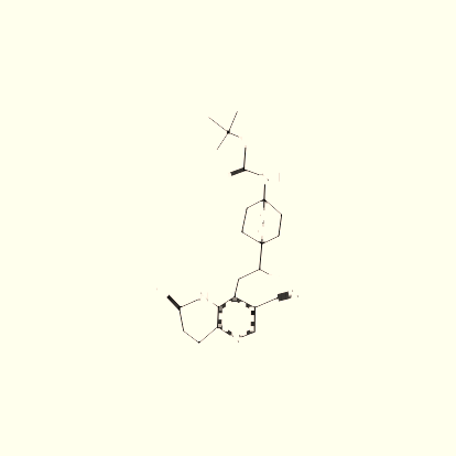 CC(C)(C)OC(=O)NC12CCC(C(O)Cc3c(C#N)cnc4c3NC(=O)CC4)(CC1)OC2